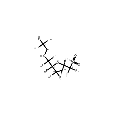 O=S(=O)(F)C(F)(F)C(F)(F)OC(F)(C(F)(F)F)C(F)(F)OCC(F)(F)F